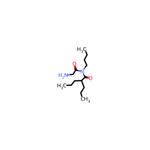 CCCCN(C(=O)CN)C(=O)C(CCC)CCC